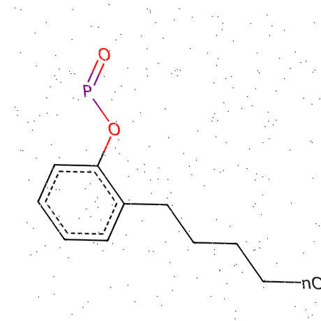 CCCCCCCCCCCCc1ccccc1OP=O